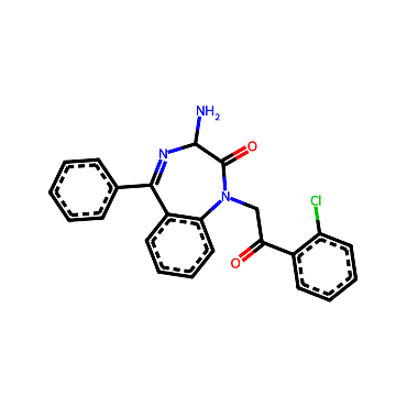 NC1N=C(c2ccccc2)c2ccccc2N(CC(=O)c2ccccc2Cl)C1=O